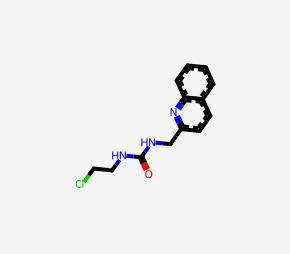 O=C(NCCCl)NCc1ccc2ccccc2n1